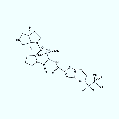 CC(C)(C)C(NC(=O)c1cc2cc(C(F)(F)P(=O)(O)O)ccc2s1)C(=O)N1CCC[C@H]1C(=O)N1CC[C@@H]2CNC[C@@H]21